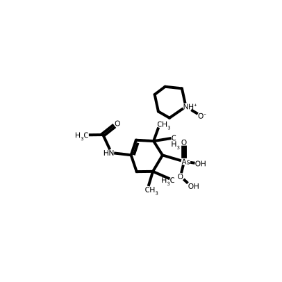 CC(=O)NC1=CC(C)(C)C([As](=O)(O)OO)C(C)(C)C1.[O-][NH+]1CCCCC1